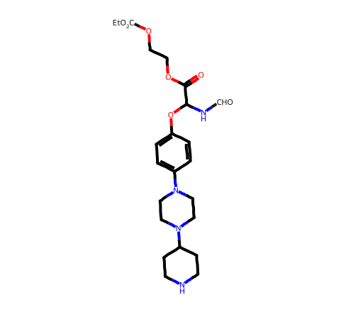 CCOC(=O)OCCOC(=O)C(NC=O)Oc1ccc(N2CCN(C3CCNCC3)CC2)cc1